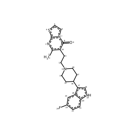 Cc1nc2sccn2c(=O)c1CCN1CCC(c2c[nH]c3ccc(F)cc23)CC1